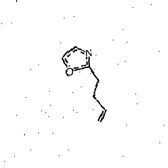 C=CCCc1ncco1